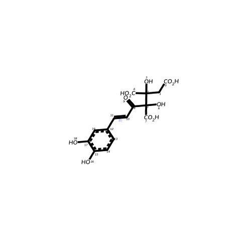 O=C(O)CC(O)(C(=O)O)C(O)(C(=O)O)C(=O)/C=C/c1ccc(O)c(O)c1